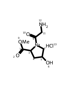 COC(=O)C1CC(O)CN1C(=O)CN.Cl